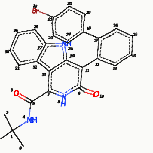 CC(C)(C)NC(=O)c1[nH]c(=O)c(-c2ccccc2-c2ccc(Br)cc2)c2[nH]c3ccccc3c12